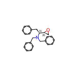 c1ccc(C[C@@H]([C@@H]2CO2)N(Cc2ccccc2)Cc2ccccc2)cc1